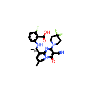 Cc1cc([C@@H](C)Nc2cccc(F)c2C(=O)O)c2nc(N3CCC(F)(F)CC3)c(C#N)c(=O)n2c1